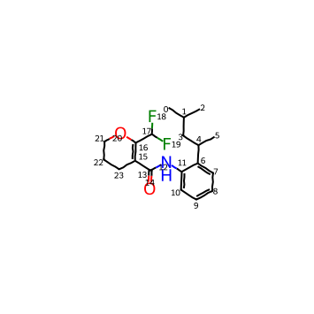 CC(C)CC(C)c1ccccc1NC(=O)C1=C(C(F)F)OCCC1